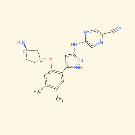 Cc1cc(O[C@@H]2CC[C@@H](N)C2)c(-c2cc(Nc3cnc(C#N)cn3)n[nH]2)cc1C